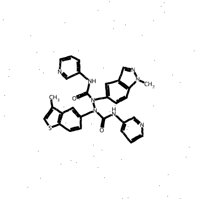 Cc1csc2ccc(N(C(=O)Nc3cccnc3)N(C(=O)Nc3cccnc3)c3ccc4c(cnn4C)c3)cc12